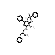 Cn1c(NCC(N)Cc2ccccc2)nc(-c2ccncc2)c(NS(=O)(=O)c2ccccc2)c1=O